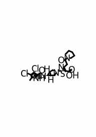 Cc1[nH]c(C(=O)N[C@@H]2[C@@H]3CN(c4nc(CC(=O)N5CCCCC5)c(C(=O)O)s4)C[C@@H]32)c(Cl)c1Cl